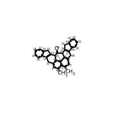 Cc1cc2c3c4c5c(cc(C)c14)CC1=C(Cc4ccccc41)C5C(=O)C3C1=C(C2)c2ccccc2C1